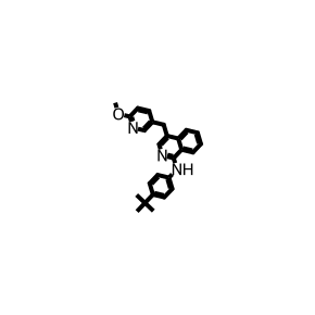 COc1ccc(Cc2cnc(Nc3ccc(C(C)(C)C)cc3)c3ccccc23)cn1